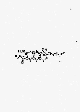 C=CCON=C1CCc2cc3cc(C(N)=O)c(N)nc3nc2C1(C)C